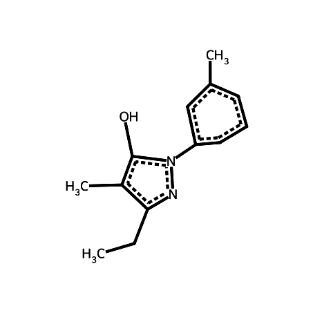 CCc1nn(-c2cccc(C)c2)c(O)c1C